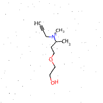 C#CC[N+](=C)C(C)CCOCCO